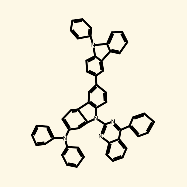 c1ccc(-c2nc(-n3c4ccc(-c5ccc6c(c5)c5ccccc5n6-c5ccccc5)cc4c4ccc(N(c5ccccc5)c5ccccc5)cc43)nc3ccccc23)cc1